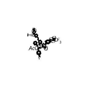 CC(=O)O[C@@H](CC[C@H]1C(=O)N(c2ccc(OS(=O)(=O)C(F)(F)F)cc2)[C@@H]1c1ccc(C=Cc2ccc(C3(O)COC(C)(C)OC3)cc2)cc1OCc1ccccc1)c1ccc(F)cc1